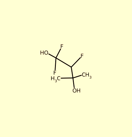 CC(C)(O)C(F)C(O)(F)F